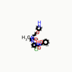 Cc1cn(-c2ccc(Cl)c(C(=O)NCC3(O)CCCCCC3)c2)c(=O)n1CCCOC1CCNCC1